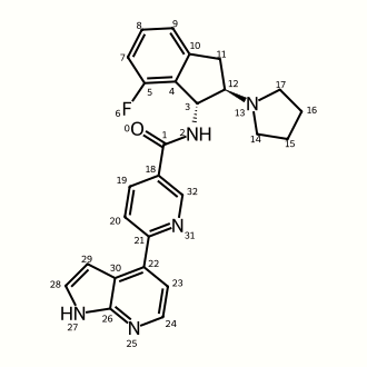 O=C(N[C@@H]1c2c(F)cccc2C[C@H]1N1CCCC1)c1ccc(-c2ccnc3[nH]ccc23)nc1